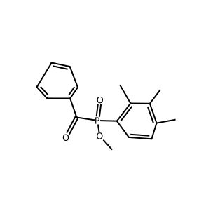 COP(=O)(C(=O)c1ccccc1)c1ccc(C)c(C)c1C